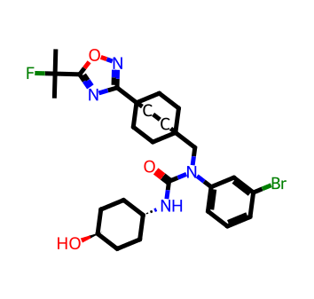 CC(C)(F)c1nc(C23CCC(CN(C(=O)N[C@H]4CC[C@H](O)CC4)c4cccc(Br)c4)(CC2)CC3)no1